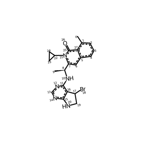 Cc1cccc2cc([C@H](C)Nc3ncnc4c3C(Br)CN4)n(C3CC3)c(=O)c12